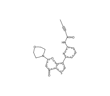 CC#CC(=O)Nc1cccc(-c2csc3c(=O)cc(N4CCOCC4)oc23)n1